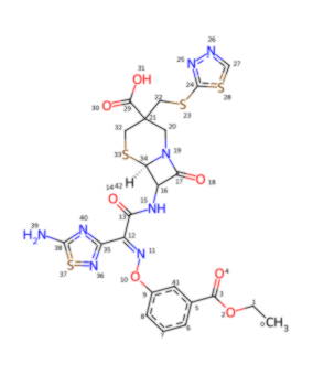 CCOC(=O)c1cccc(ON=C(C(=O)NC2C(=O)N3CC(CSc4nncs4)(C(=O)O)CS[C@H]23)c2nsc(N)n2)c1